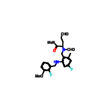 CNC(=O)C(CCC=O)N(C=O)Cc1c(C)cc(F)cc1NCc1cccc(OC)c1F